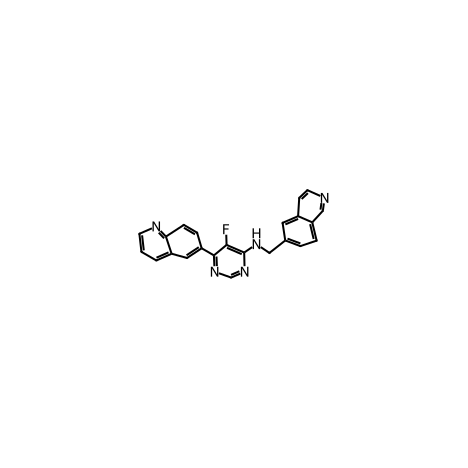 Fc1c(NCc2ccc3cnccc3c2)ncnc1-c1ccc2ncccc2c1